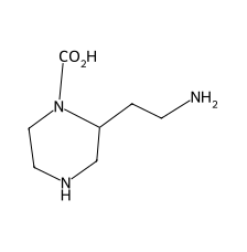 NCCC1CNCCN1C(=O)O